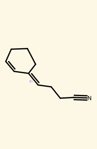 N#CCC/C=C1/C=CCCC1